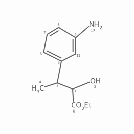 CCOC(=O)C(O)C(C)c1cccc(N)c1